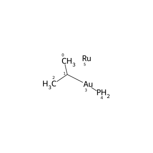 C[CH](C)[Au][PH2].[Ru]